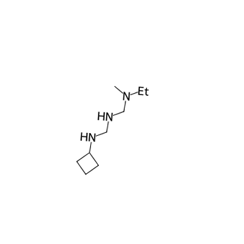 CCN(C)CNCNC1CCC1